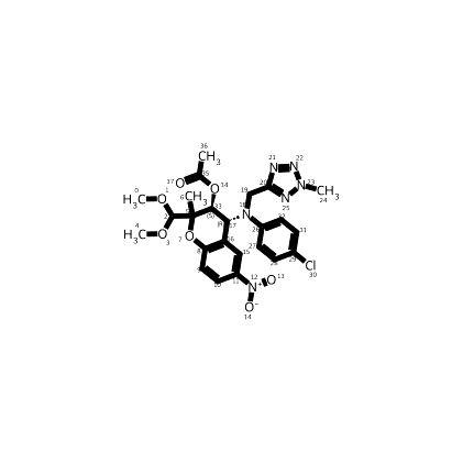 COC(OC)C1(C)Oc2ccc([N+](=O)[O-])cc2[C@@H](N(Cc2nnn(C)n2)c2ccc(Cl)cc2)[C@@H]1OC(C)=O